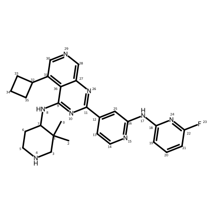 CC1(C)CNCCC1Nc1nc(-c2ccnc(Nc3cccc(F)n3)c2)nc2cncc(C3CCC3)c12